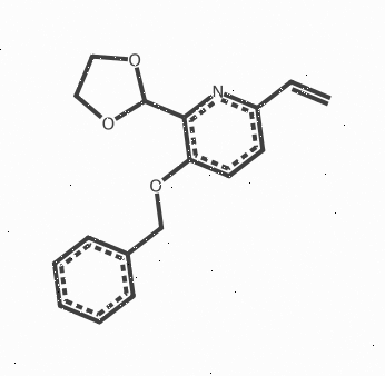 C=Cc1ccc(OCc2ccccc2)c(C2OCCO2)n1